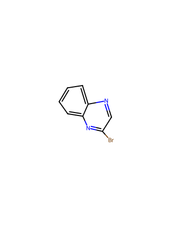 Brc1cnc2ccccc2n1